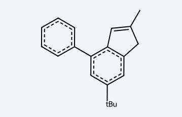 CC1=Cc2c(cc(C(C)(C)C)cc2-c2ccccc2)C1